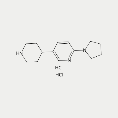 Cl.Cl.c1cc(N2CCCC2)ncc1C1CCNCC1